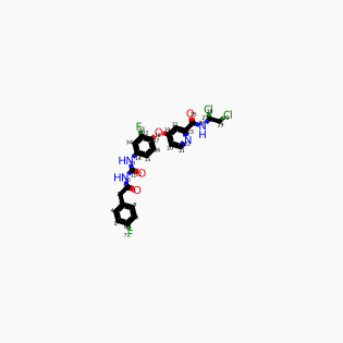 O=C(Cc1ccc(F)cc1)NC(=O)Nc1ccc(Oc2ccnc(C(=O)NC(Cl)CCl)c2)c(F)c1